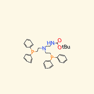 CC(C)(C)OC(=O)NCCN(CCP(c1ccccc1)c1ccccc1)CCP(c1ccccc1)c1ccccc1